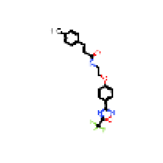 Cc1ccc(C=CC(=O)NCCOc2ccc(-c3noc(C(F)(F)F)n3)cc2)cc1